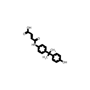 CC(C)(c1ccc(O)cc1)c1ccc(NC(=O)C=CC(=O)O)cc1